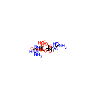 Nc1nc2c(ncn2[C@@H]2SC3OCC45O[C@@H]6[C@H]4C5(COP(=O)(O)O[C@@H]2[C@@H]3O)O[C@H]6n2cnc3c(N)ncnc32)c(=O)[nH]1